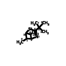 CC1C2N=C(C(C)(C)C)SC1C2C